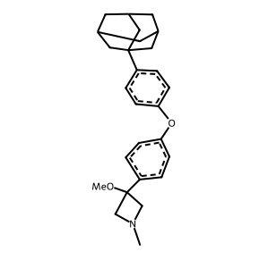 COC1(c2ccc(Oc3ccc(C45CC6CC(CC(C6)C4)C5)cc3)cc2)CN(C)C1